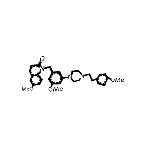 COc1ccc(CCN2CCN(c3cc(Cn4c(=O)ccc5cc(OC)ccc54)cc(OC)c3)CC2)cc1